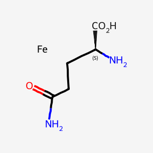 NC(=O)CC[C@H](N)C(=O)O.[Fe]